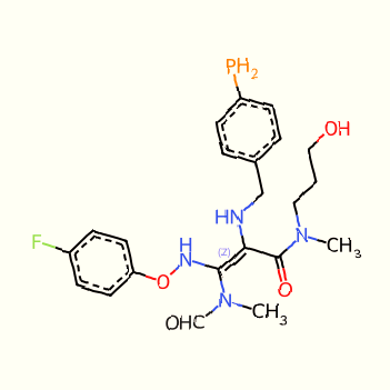 CN(CCCO)C(=O)/C(NCc1ccc(P)cc1)=C(/NOc1ccc(F)cc1)N(C)C=O